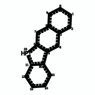 c1ccc2cc3c(cc2c1)[pH]c1ccccc13